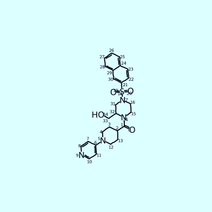 O=C(C1CCN(c2ccncc2)CC1)N1CCN(S(=O)(=O)c2ccc3ccccc3c2)CC1CO